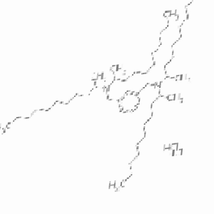 CCCCCCCCCC(C)N(Cc1cccc(CN(C(C)CCCCCCCCC)C(C)CCCCCCCCC)c1)C(C)CCCCCCCCC.Cl.Cl